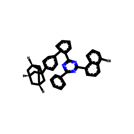 N#Cc1cccc2c(-c3nc(-c4ccccc4)nc(-c4ccccc4-c4ccc(C56C[C@H]7C[C@@H](C5)C[C@@H](C6)C7)cc4)n3)cccc12